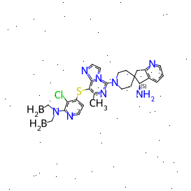 BCN(CB)c1nccc(Sc2c(C)nc(N3CCC4(CC3)Cc3ncccc3[C@H]4N)n3ccnc23)c1Cl